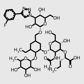 CCC[C@H](OC1C(NC(C)=O)[C@H](O[C@@H]2CC(CO[C@H]3OC(CO)[C@@H](O)C(n4cc(-c5cccc(F)c5)nn4)C3O)CC(CC)C2O[C@@H]2OC(C)[C@H](O)C(O)C2O)OC(CO)[C@@H]1O)C(=O)O